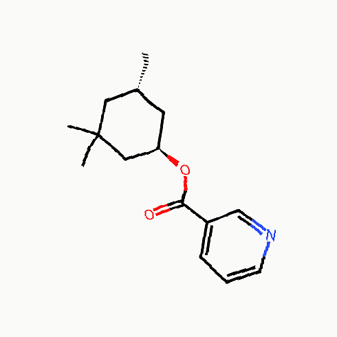 C[C@@H]1C[C@@H](OC(=O)c2cccnc2)CC(C)(C)C1